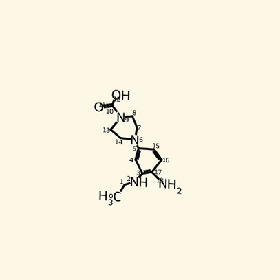 CCNc1cc(N2CCN(C(=O)O)CC2)ccc1N